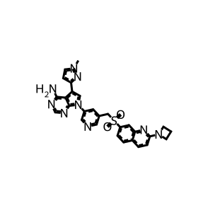 Cn1ccc(-c2cn(-c3cncc(CS(=O)(=O)c4ccc5ccc(N6CCC6)nc5c4)c3)c3ncnc(N)c23)n1